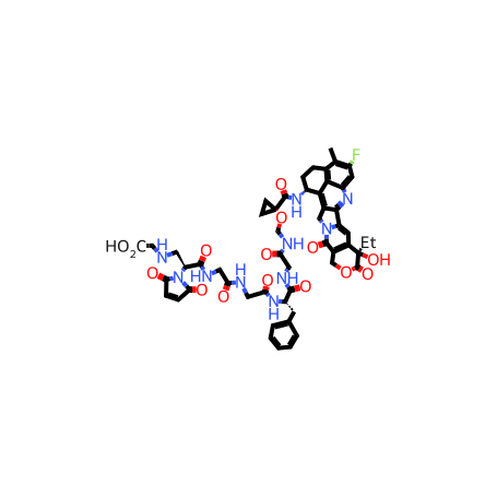 CC[C@@]1(O)C(=O)OCc2c1cc1n(c2=O)Cc2c-1nc1cc(F)c(C)c3c1c2[C@@H](NC(=O)C1(OCNC(=O)CNC(=O)[C@H](Cc2ccccc2)NC(=O)CNC(=O)CNC(=O)[C@H](CNCC(=O)O)N2C(=O)C=CC2=O)CC1)CC3